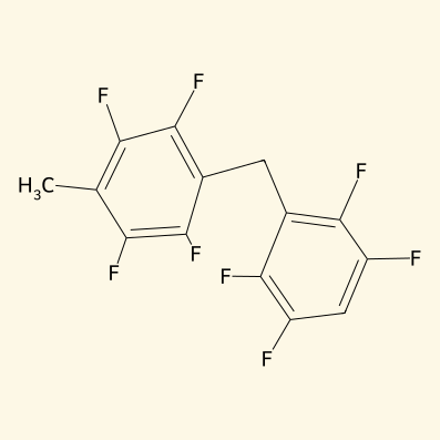 Cc1c(F)c(F)c(Cc2c(F)c(F)cc(F)c2F)c(F)c1F